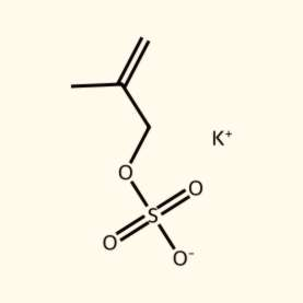 C=C(C)COS(=O)(=O)[O-].[K+]